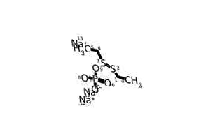 CCSSCC.O=P([O-])([O-])[O-].[Na+].[Na+].[Na+]